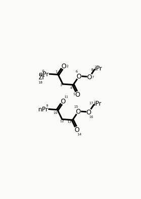 CCCC(=O)CC(=O)OOC(C)C.CCCC(=O)CC(=O)OOC(C)C.[Zr]